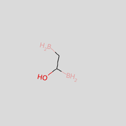 BCC(B)O